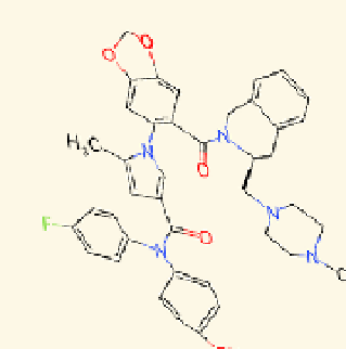 Cc1cc(C(=O)N(c2ccc(O)cc2)c2ccc(F)cc2)cn1-c1cc2c(cc1C(=O)N1Cc3ccccc3C[C@H]1CN1CCN(C)CC1)OCO2